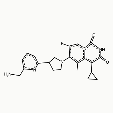 Cc1c(N2CCC(c3cccc(CN)n3)C2)c(F)cn2c(=O)[nH]c(=O)c(C3CC3)c12